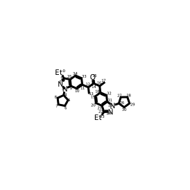 CCc1nn(C2CCCC2)c2cc(C(C)C(=O)C(C)c3ccc4c(CC)nn(C5CCCC5)c4c3)ccc12